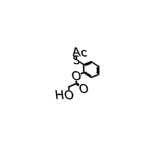 CC(=O)Sc1ccccc1OC(=O)CO